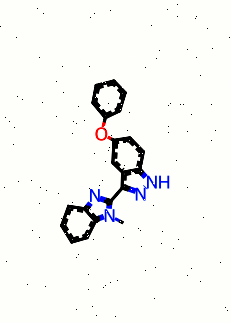 Cn1c(-c2n[nH]c3ccc(Oc4ccccc4)cc23)nc2ccccc21